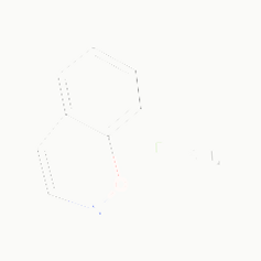 C1=Cc2ccccc2ON1.F.[SiH4]